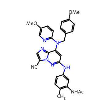 COc1ccc(CN(c2ccc(OC)cn2)c2cc(Nc3ccc(C)c(NC(C)=O)c3)nn3c(C#N)cnc23)cc1